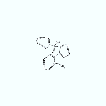 Cc1ccccc1-c1ccccc1P(=O)(O)c1ccccc1